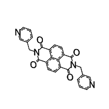 O=C1c2ccc3c4c(ccc(c24)C(=O)N1Cc1cccnc1)C(=O)N(Cc1cccnc1)C3=O